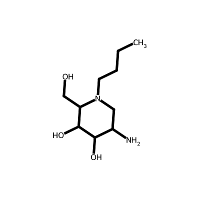 CCCCN1CC(N)C(O)C(O)C1CO